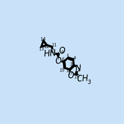 Cc1nc2ccc(OC(=O)NCC3CC3)cc2o1